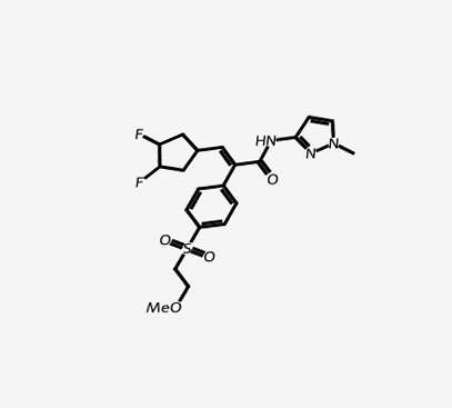 COCCS(=O)(=O)c1ccc(/C(=C\C2CC(F)C(F)C2)C(=O)Nc2ccn(C)n2)cc1